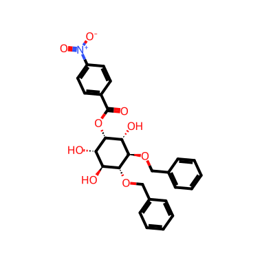 O=C(O[C@H]1[C@@H](O)[C@H](O)[C@@H](OCc2ccccc2)[C@H](OCc2ccccc2)[C@H]1O)c1ccc([N+](=O)[O-])cc1